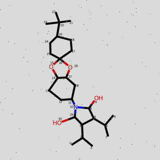 CC(C)C1C(C(C)C)C(O)N(C2CCC3OC4(CCC(C(C)(C)C)CC4)OC3C2)C1O